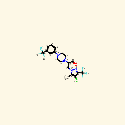 Cc1c(Cl)c(C(F)(F)F)nn1CC(C=O)N1CCN(c2cccc(C(F)(F)F)c2)CC1